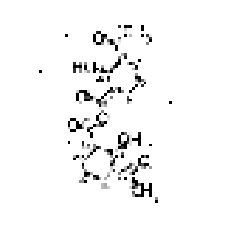 CC(=O)c1cccc(C(=O)OC(=O)c2cccc(C(C)=O)c2O)c1O